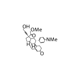 CNc1ccc([C@H]2C[C@@]3(C)[C@@H](CC[C@]3(C#CCO)C(=O)COC)[C@@H]3CCC4=CC(=O)CCC4=C32)cc1